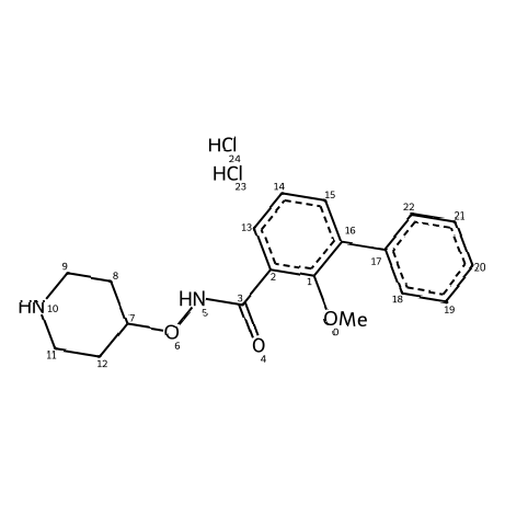 COc1c(C(=O)NOC2CCNCC2)cccc1-c1ccccc1.Cl.Cl